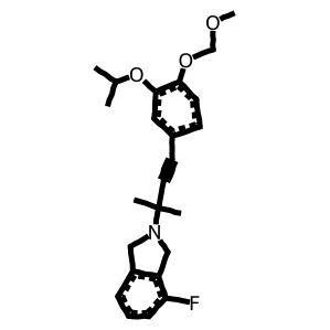 COCOc1ccc(C#CC(C)(C)N2Cc3cccc(F)c3C2)cc1OC(C)C